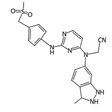 CC1NNc2cc(N(CC#N)c3ccnc(Nc4ccc(CS(C)(=O)=O)cc4)n3)ccc21